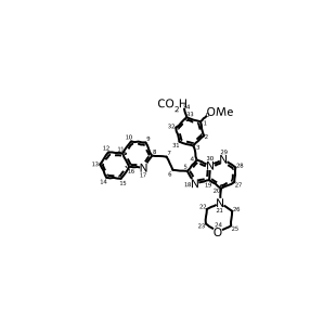 COc1cc(-c2c(CCc3ccc4ccccc4n3)nc3c(N4CCOCC4)ccnn23)ccc1C(=O)O